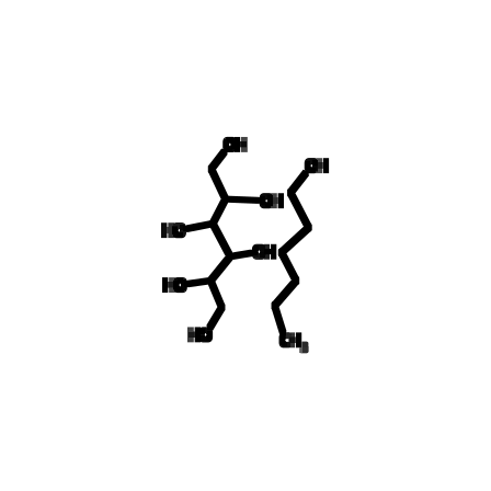 CCCCCCO.OCC(O)C(O)C(O)C(O)CO